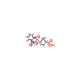 O=C(O)c1ccc(OC(=O)c2ccccc2[N+](=O)[O-])cc1